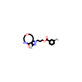 CCc1nn(CCCOC(=O)c2cccc(C(C)=O)c2)c2c1C(=O)NCCCOCCC2